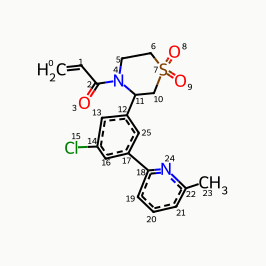 C=CC(=O)N1CCS(=O)(=O)CC1c1cc(Cl)cc(-c2cccc(C)n2)c1